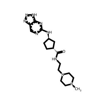 CN1CCN(CCNC(=O)[C@@H]2CC[C@@H](Nc3ncc4nn[nH]c4n3)C2)CC1